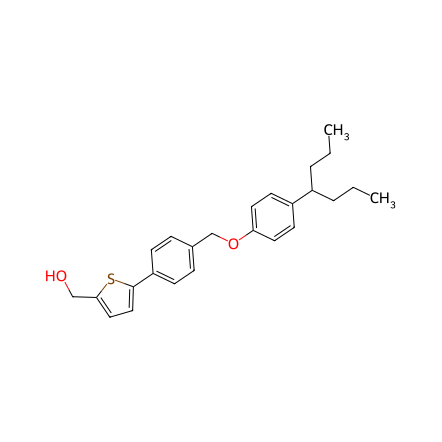 CCCC(CCC)c1ccc(OCc2ccc(-c3ccc(CO)s3)cc2)cc1